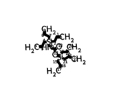 C=CC[Si](CC=C)(CC=C)NC(=O)O[Si](CC=C)(CC=C)CC=C